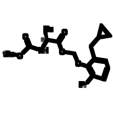 CCC(C)[C@H](NC(=O)OC(C)(C)C)C(=O)OCOc1c(CC2CC2)cccc1C(C)C